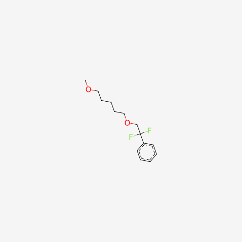 COCCCCCOCC(F)(F)c1ccccc1